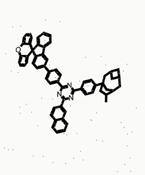 CC1CC2(c3ccc(-c4nc(-c5ccc(-c6ccc7c(c6)-c6ccccc6C76c7ccccc7Oc7ccccc76)cc5)nc(-c5ccc6ccccc6c5)n4)cc3)CC3CC(C3)CC1C2